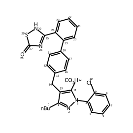 CCCCc1nn(-c2ccccc2Cl)c(C(=O)O)c1Cc1ccc(-c2ccccc2-c2nc(=O)s[nH]2)cc1